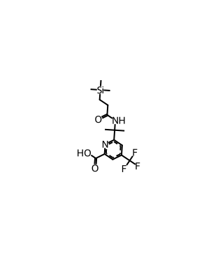 CC(C)(NC(=O)CC[Si](C)(C)C)c1cc(C(F)(F)F)cc(C(=O)O)n1